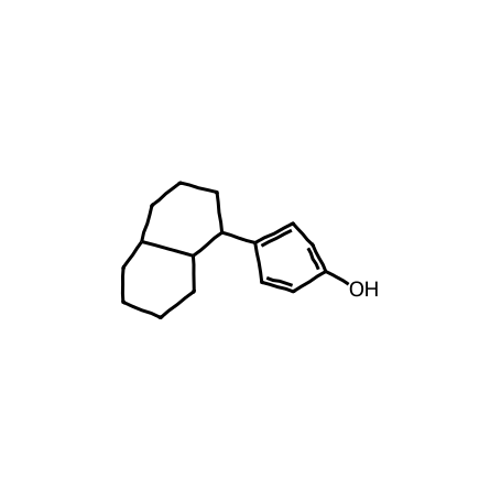 Oc1ccc(C2CCCC3CCCCC32)cc1